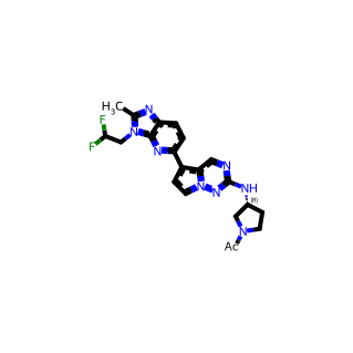 CC(=O)N1CC[C@@H](Nc2ncc3c(-c4ccc5nc(C)n(CC(F)F)c5n4)ccn3n2)C1